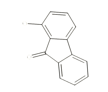 [O]c1cccc2c1C(=O)c1ccccc1-2